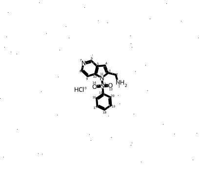 Cl.NCc1cc2cnccc2n1S(=O)(=O)c1ccccc1